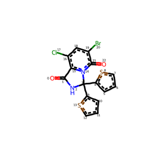 O=C1NC(c2cccs2)(c2cccs2)n2c1c(Cl)cc(Br)c2=O